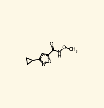 CONC(=O)c1cc(C2CC2)no1